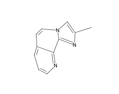 Cc1cn2ccc3cccnc3c2n1